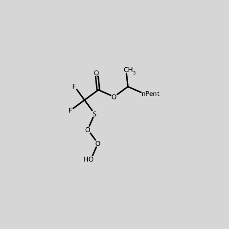 CCCCCC(C)OC(=O)C(F)(F)SOOO